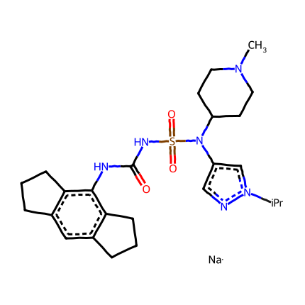 CC(C)n1cc(N(C2CCN(C)CC2)S(=O)(=O)NC(=O)Nc2c3c(cc4c2CCC4)CCC3)cn1.[Na]